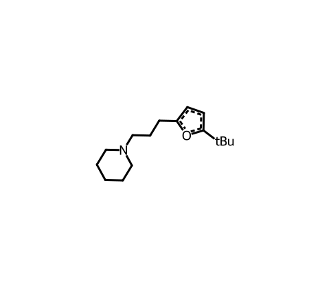 CC(C)(C)c1ccc(CCCN2CCCCC2)o1